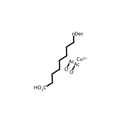 CC(=O)[O-].CC(=O)[O-].CCCCCCCCCCCCCCCCCC(=O)O.[Cu+2]